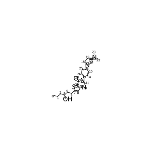 CCCC(O)CCc1cc2ncn(-c3ccc(N4CC[C@@H](N(C)C)C4)cc3)c(=O)c2s1